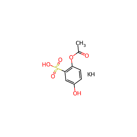 CC(=O)Oc1ccc(O)cc1S(=O)(=O)O.[KH]